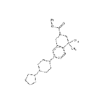 CC(C)OC(=O)N1Cc2cc(N3CCN(C4CCCC4)CC3)ccc2C(C)(C)C1